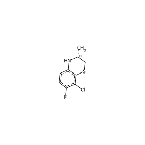 C[C@@H]1CSc2c(ccc(F)c2Cl)N1